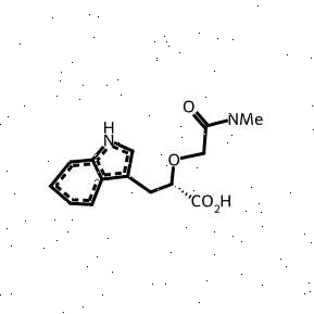 CNC(=O)CO[C@@H](Cc1c[nH]c2ccccc12)C(=O)O